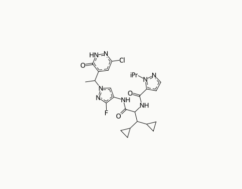 CC(c1cc(Cl)n[nH]c1=O)n1cc(NC(=O)C(NC(=O)c2ccnn2C(C)C)C(C2CC2)C2CC2)c(F)n1